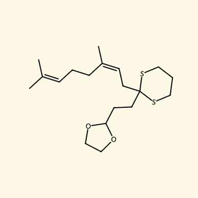 CC(C)=CCC/C(C)=C\CC1(CCC2OCCO2)SCCCS1